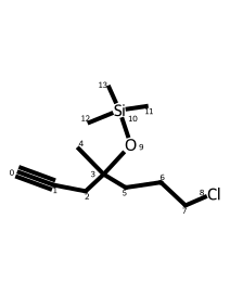 C#CCC(C)(CCCCl)O[Si](C)(C)C